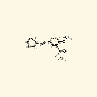 COC(=O)c1cc(C#Cc2cccnc2)cnc1OC